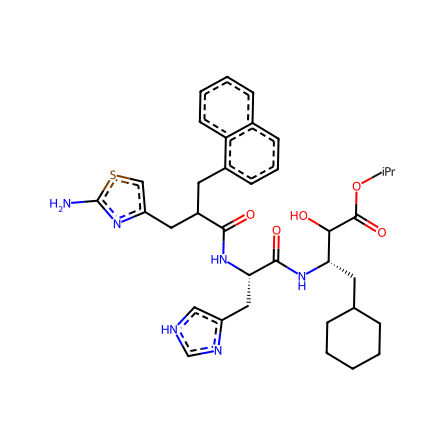 CC(C)OC(=O)C(O)[C@H](CC1CCCCC1)NC(=O)[C@H](Cc1c[nH]cn1)NC(=O)C(Cc1csc(N)n1)Cc1cccc2ccccc12